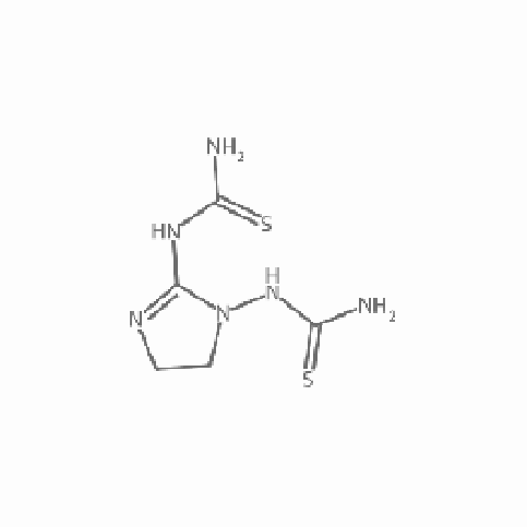 NC(=S)NC1=NCCN1NC(N)=S